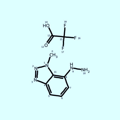 Cn1nnc2cccc(NN)c21.O=C(O)C(F)(F)F